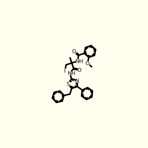 COc1ccccc1C(=O)NC(C)(CI)C(=O)Nc1nc(-c2ccccc2)c(Cc2ccccc2)s1